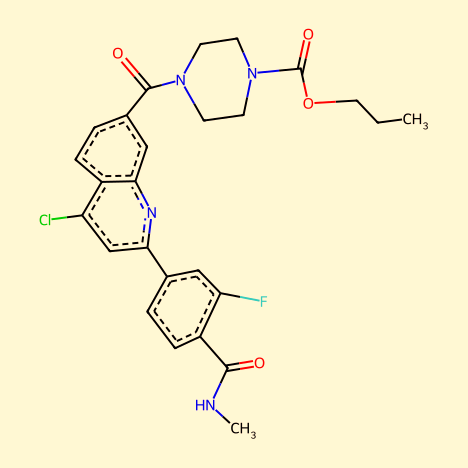 CCCOC(=O)N1CCN(C(=O)c2ccc3c(Cl)cc(-c4ccc(C(=O)NC)c(F)c4)nc3c2)CC1